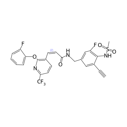 C#Cc1cc(CNC(=O)/C=C\c2ccc(C(F)(F)F)nc2Oc2ccccc2F)cc(F)c1NS(C)(=O)=O